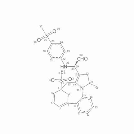 CCS(=O)(=O)C12C=CC=C(C1)c1ccccc1N1C(=C([C@H](C=O)Nc3ccc(S(C)(=O)=O)cc3)CC1C)C2